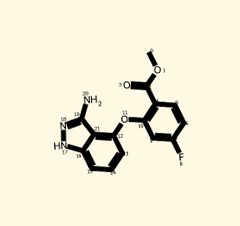 COC(=O)c1ccc(F)cc1Oc1cccc2[nH]nc(N)c12